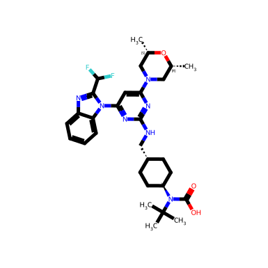 C[C@@H]1CN(c2cc(-n3c(C(F)F)nc4ccccc43)nc(NC[C@H]3CC[C@H](N(C(=O)O)C(C)(C)C)CC3)n2)C[C@H](C)O1